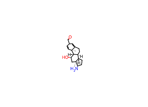 C[C@]12C[C@@H](O)[C@H]3[C@@H](CCC4=CC(C=O)C=C[C@@]43C)[C@@H]1CC[C@@H]2N